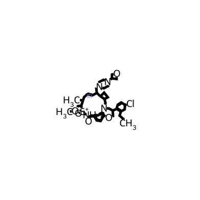 CCCC1=C(C2COc3ccc4cc3N(C2)CC2CCC2C(CN2CCN(C3COC3)CC2)/C=C/CC(C)C(COC)[S+]([O-])NC4=O)C=CC(Cl)C1